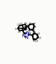 Cc1cccc(C)c1-n1c(-c2ccccc2)nnc1C12CC3CC(CC(C3)C1)C2